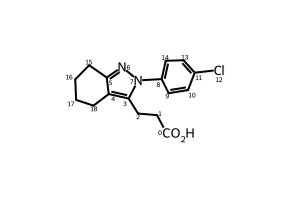 O=C(O)CCc1c2c(nn1-c1ccc(Cl)cc1)CCCC2